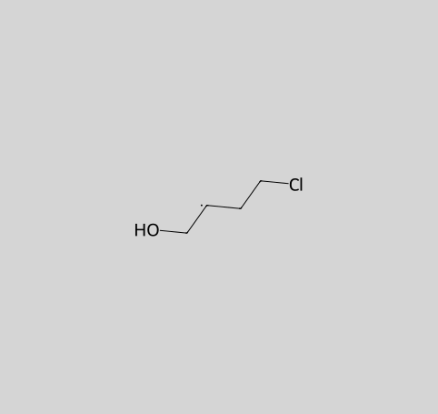 OC[CH]CCCl